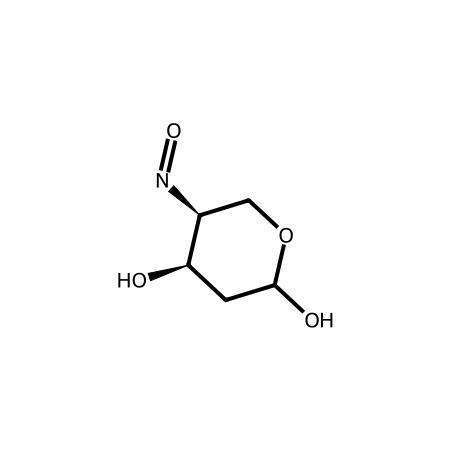 O=N[C@H]1COC(O)C[C@H]1O